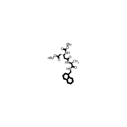 CCCCOC(=O)C[C@@H](CC(=O)N[C@@H](C)C(=O)NCc1cccc2ccccc12)NC(=O)OC(C)(C)C